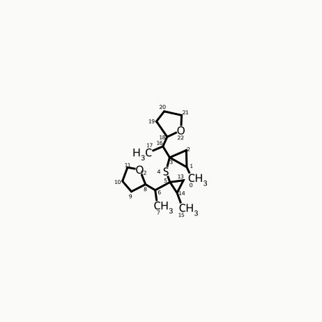 CC1CC1(SC1(C(C)C2CCCO2)CC1C)C(C)C1CCCO1